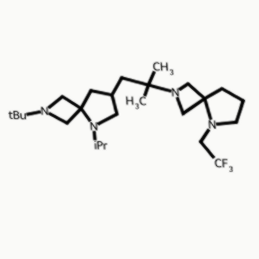 CC(C)N1CC(CC(C)(C)N2CC3(CCCN3CC(F)(F)F)C2)CC12CN(C(C)(C)C)C2